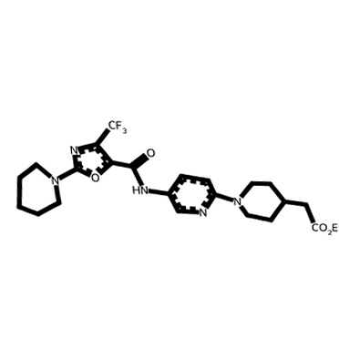 CCOC(=O)CC1CCN(c2ccc(NC(=O)c3oc(N4CCCCC4)nc3C(F)(F)F)cn2)CC1